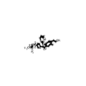 C[C@H](NS(=O)(=O)c1ccc(-c2c(C#N)c3cc(F)c(CCO)cc3n2-c2ncccn2)nc1)C(F)(F)F